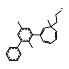 Cc1cc(C2=CC(C)(CCF)C=CC=C2)c(C)c(-c2ccccc2)c1